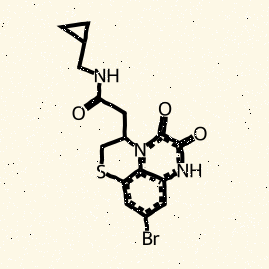 O=C(CC1CSc2cc(Br)cc3[nH]c(=O)c(=O)n1c23)NCC1CC1